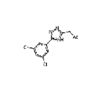 CC(=O)Cc1nnc(-c2cc(Cl)cc(Cl)c2)[nH]1